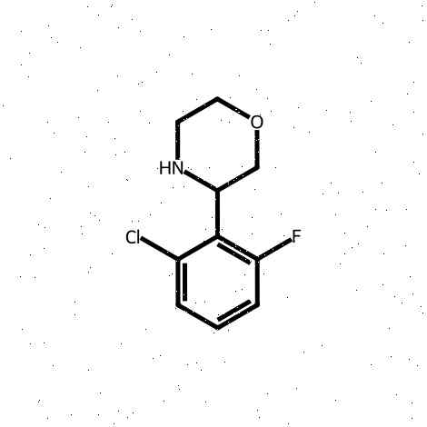 Fc1cccc(Cl)c1C1COCCN1